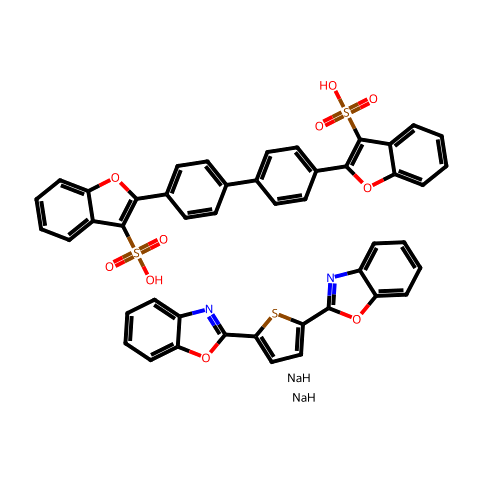 O=S(=O)(O)c1c(-c2ccc(-c3ccc(-c4oc5ccccc5c4S(=O)(=O)O)cc3)cc2)oc2ccccc12.[NaH].[NaH].c1ccc2oc(-c3ccc(-c4nc5ccccc5o4)s3)nc2c1